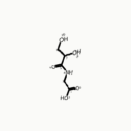 O=C(O)CNC(=O)C(O)CO